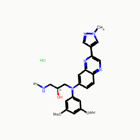 COc1cc(OC)cc(N(C[C@@H](O)CNC(C)C)c2ccc3ncc(-c4cnn(C)c4)nc3c2)c1.Cl